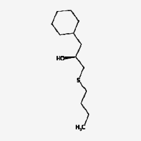 CCCCSC[C@@H](O)CC1CCCCC1